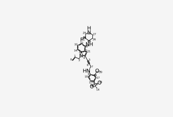 C=CCn1c(C#CCNc2ccc(S(C)(=O)=O)cc2OC)cc2c(N[C@H]3CCNC[C@H]3F)cccc21